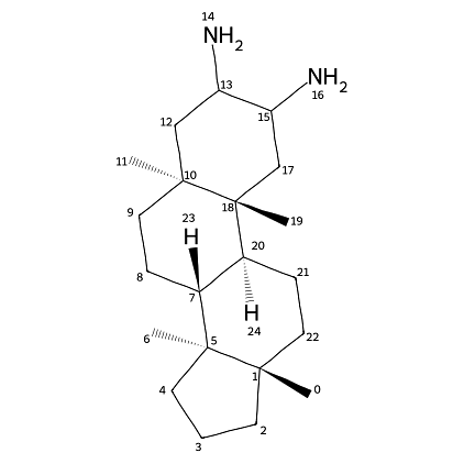 C[C@@]12CCC[C@@]1(C)[C@@H]1CC[C@@]3(C)CC(N)C(N)C[C@]3(C)[C@H]1CC2